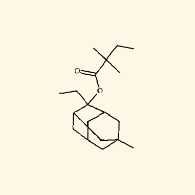 CCC(C)(C)C(=O)OC1(CC)C2CC3CC1CC(C)(C3)C2